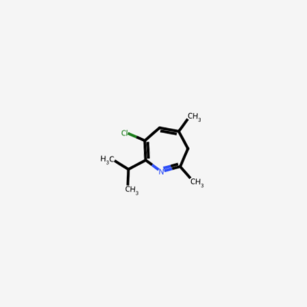 CC1=CC(Cl)=C(C(C)C)N=C(C)C1